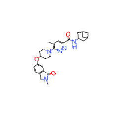 Cc1cc(C(=O)NC2CC3CC(C3)C2)nnc1N1CCC(Oc2ccc3c(c2)C(=O)N(C)C3)CC1